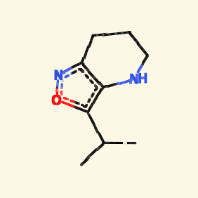 CC(C)c1onc2c1NCCC2